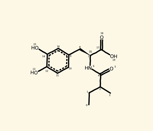 CCC(C)C(=O)N[C@@H](Cc1ccc(O)c(O)c1)C(=O)O